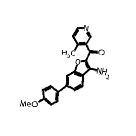 COc1ccc(-c2ccc3c(N)c(C(=O)c4cnccc4C)oc3c2)cc1